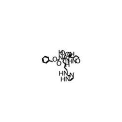 O=C(NC(CCCCNc1ncc[nH]1)(NC(=O)C1CCON1)C(=O)O)OCc1ccccc1